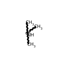 CCCCC[CH2][AlH][O][Al]([CH2]CCCCC)[CH2]CCCCC